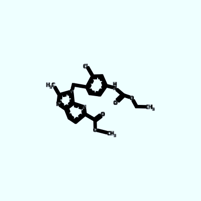 CCOC(=O)Nc1ccc(Cn2c(C)nc3ccc(C(=O)OC)nc32)c(Cl)c1